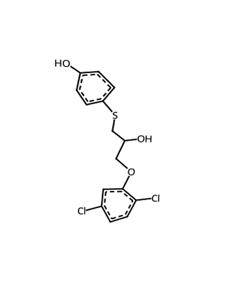 Oc1ccc(SCC(O)COc2cc(Cl)ccc2Cl)cc1